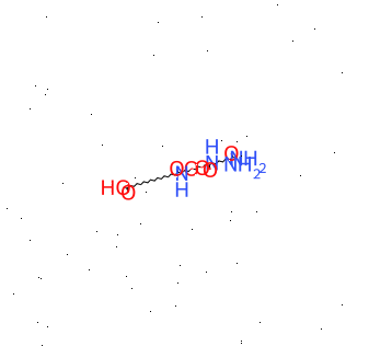 NC(=O)[C@@H](N)CCCCNC(=O)COCCOCCNC(=O)CCCCCCCCCCCCCCC(=O)O